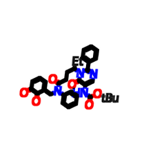 CCC(CCC(=O)N(CC1=CC=CC(=O)C1=O)c1ccccc1)n1c(-c2ccccc2)ncc(NC(=O)OC(C)(C)C)c1=O